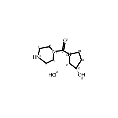 Cl.O=C(N1CCNCC1)N1CC[C@H](O)C1